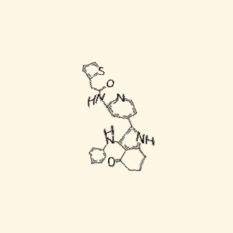 O=C(Cc1cccs1)Nc1cc(-c2[nH]c3c(c2Nc2ccccc2)C(=O)CCC3)ccn1